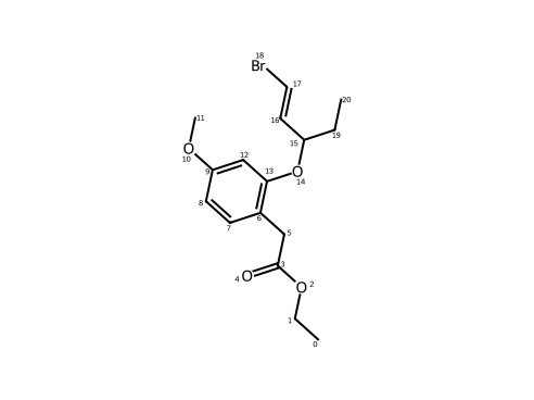 CCOC(=O)Cc1ccc(OC)cc1OC(/C=C/Br)CC